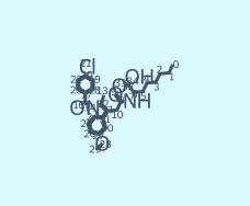 CCCCCCC(NC(=O)Cc1c(C)n(C(=O)c2ccc(Cl)cc2)c2ccc(OC)cc12)C(=O)O